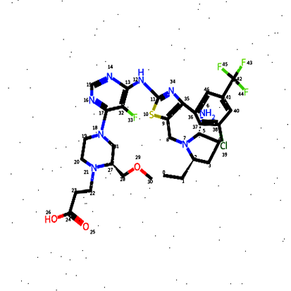 CC[C@@H]1CC[C@@H](N)N1Cc1sc(Nc2ncnc(N3CCN(CCC(=O)O)[C@H](COC)C3)c2F)nc1-c1cc(Cl)cc(C(F)(F)F)c1